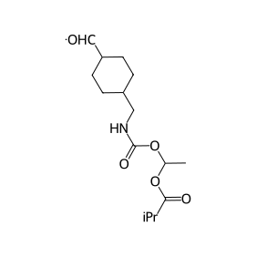 CC(OC(=O)NCC1CCC([C]=O)CC1)OC(=O)C(C)C